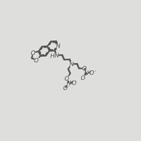 O=[N+]([O-])OCCN(CCCNc1nccc2cc3c(cc12)OCO3)CCO[N+](=O)[O-]